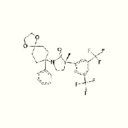 C[C@@]1(c2cc(C(F)(F)F)cc(C(F)(F)F)c2)CCN(C2(c3ccccc3)CCC3(CC2)OCCO3)C1=O